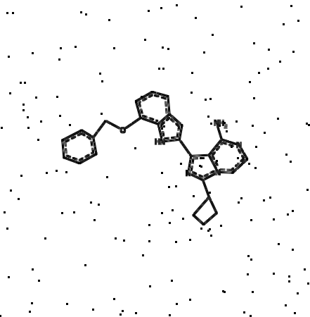 Nc1nccn2c(C3CCC3)nc(-c3cc4cccc(OCc5ccccc5)c4[nH]3)c12